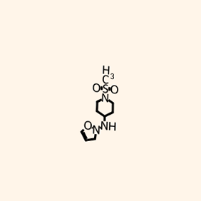 CS(=O)(=O)N1CCC(NN2CC=CO2)CC1